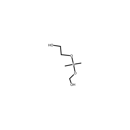 C[Si](C)(OCO)OCCO